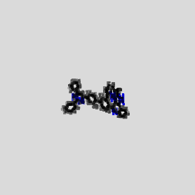 C=Nc1c(N2C=CC=CC2)c(-c2ccc(-c3ccc(-c4cc(-c5ccccc5)nc(-c5ccccc5)n4)cc3)cc2)nc2ccccc12